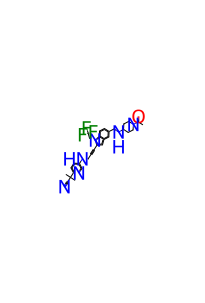 CC(=O)N1CCC(NCc2ccc3c(c2)cc(C#CCNc2ccc(C(C)(C)C#N)nc2)n3CC(F)(F)F)CC1